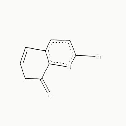 O=C1CC=Cc2ccc(Br)nc21